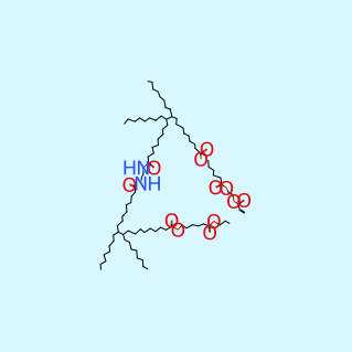 C=CC(=O)OCCOC(=O)CCCCCOC(=O)CCCCCCCCC(CCCCCCCC)C(CCCCCCCC)CCCCCCCCC(=O)NCCNC(=O)CCCCCCCCC(CCCCCCCC)C(CCCCCCCC)CCCCCCCCC(=O)OCCCCCC(=O)OCCC